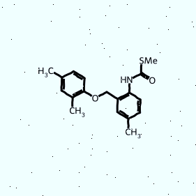 CSC(=O)Nc1ccc(C)cc1COc1ccc(C)cc1C